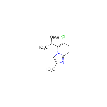 COC(C(=O)O)c1c(Cl)ccc2nc(C(=O)O)cn12